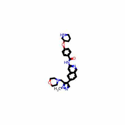 Cn1ncc(-c2ccc3cnc(NC(=O)c4ccc(OC5CCCNC5)cc4)cc3c2)c1CN1CCOCC1